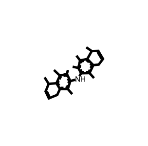 Cc1c(C)c2c(c(C)c1Nc1c(C)c(C)c3c(c1C)CC=CC3C)CC=CC2C